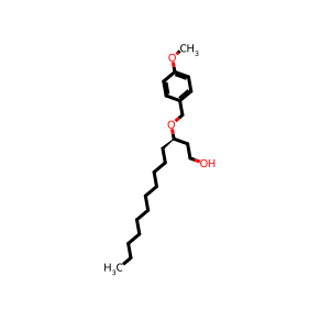 CCCCCCCCCCC[C@H](CCO)OCc1ccc(OC)cc1